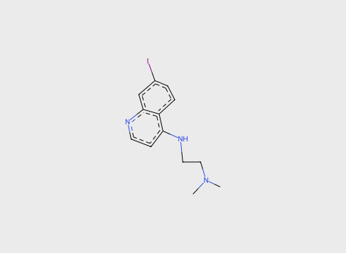 CN(C)CCNc1ccnc2cc(I)ccc12